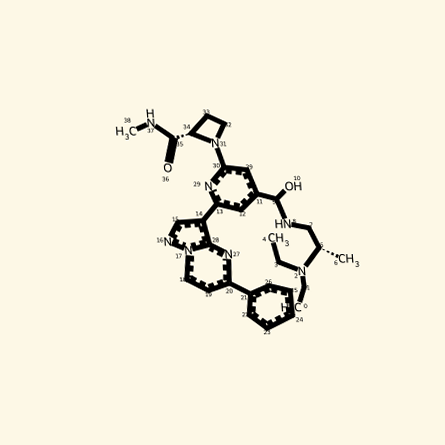 CCN(CC)[C@@H](C)CNC(O)c1cc(-c2cnn3ccc(-c4ccccc4)nc23)nc(N2CC[C@H]2C(=O)NC)c1